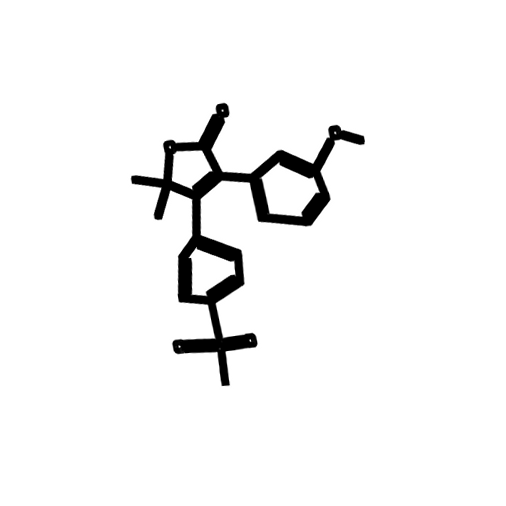 COc1cccc(C2=C(c3ccc(S(C)(=O)=O)cc3)C(C)(C)OC2=O)c1